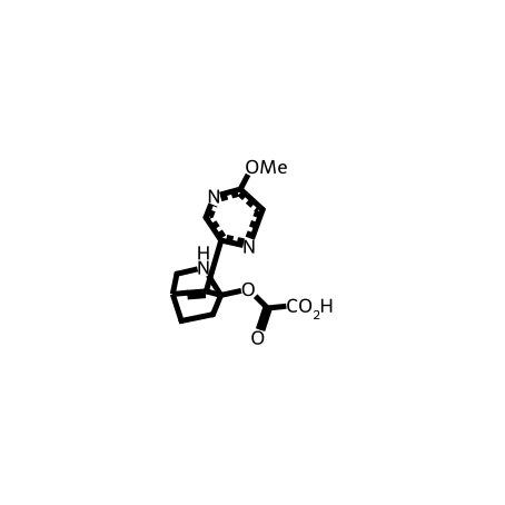 COc1cnc(C2=CC3CCC2(OC(=O)C(=O)O)NC3)cn1